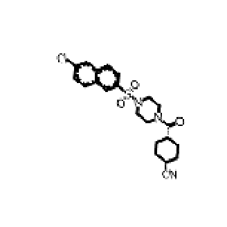 N#C[C@H]1CC[C@H](C(=O)N2CCN(S(=O)(=O)c3ccc4cc(Cl)ccc4c3)CC2)CC1